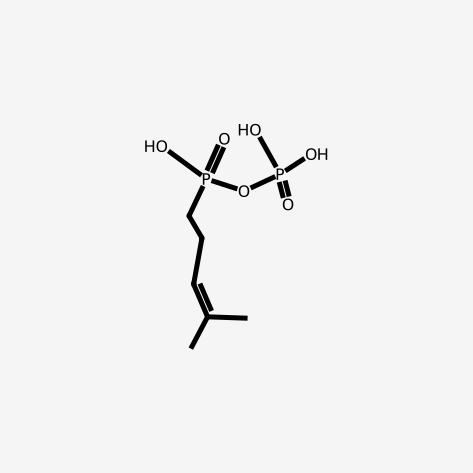 CC(C)=CCCP(=O)(O)OP(=O)(O)O